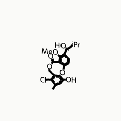 COc1c([C@@H](O)CC(C)C)ccc2c1C(=O)OCc1c(Cl)c(C)cc(O)c1O2